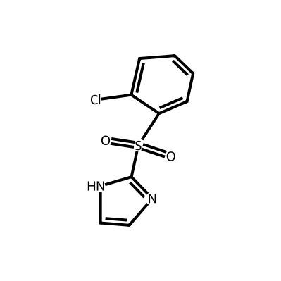 O=S(=O)(c1ncc[nH]1)c1ccccc1Cl